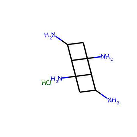 Cl.NC12C3C4(N)C1C1(N)C2C3(N)C41